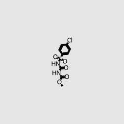 COC(=O)NC(=O)NS(=O)(=O)c1ccc(Cl)cc1